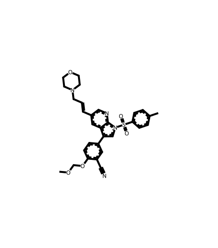 COCOc1ccc(-c2cn(S(=O)(=O)c3ccc(C)cc3)c3ncc(C=CCN4CCOCC4)cc23)cc1C#N